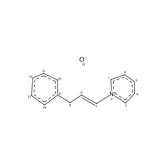 C(=C[n+]1ccccc1)Cc1ccccc1.[Cl-]